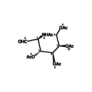 CC(=O)N[C@H](C=O)[C@@H](OC(C)=O)[C@H](OC(C)=O)[C@@H](COC(C)=O)OC(C)=O